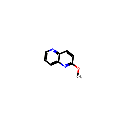 COc1ccc2ncccc2n1